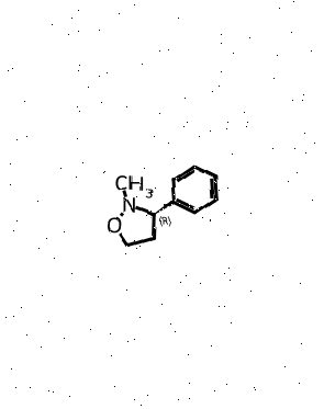 CN1OCC[C@@H]1c1ccccc1